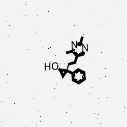 Cc1ncc(CC[C@@]2(c3ccccc3)CC2O)c(C)n1